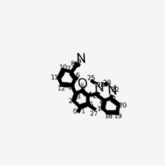 Cc1cc2c(oc3c(C#N)cccc32)c(-c2c3ccccc3nc[n+]2C)c1C